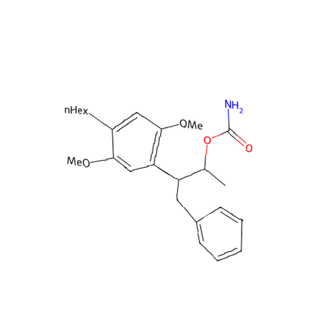 CCCCCCc1cc(OC)c(C(Cc2ccccc2)C(C)OC(N)=O)cc1OC